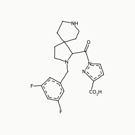 O=C(O)c1ccn(C(=O)C2N(Cc3cc(F)cc(F)c3)CCC23CCNCC3)n1